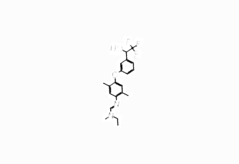 CCN(C)C=Nc1cc(C)c(Oc2cccc(C(O)C(F)(F)F)c2)cc1C